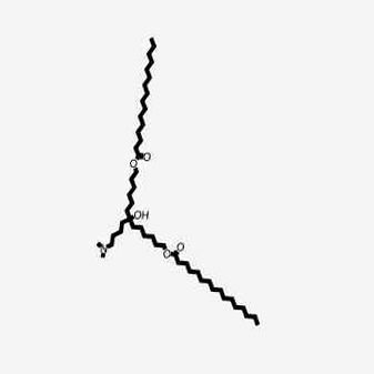 CCCCCCCCCCCCCCCC(=O)OCCCCCCC(O)(CCCCCCOC(=O)CCCCCCCCCCCCCCC)CCCCN(C)C